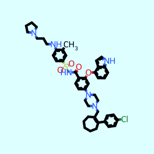 Cc1cc(S(=O)(=O)NC(=O)c2ccc(N3CCN(CC4=C(c5ccc(Cl)cc5)CCCCC4)CC3)cc2Oc2cccc3[nH]ccc23)ccc1NCCCN1CCCC1